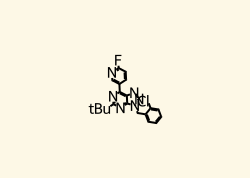 CC(C)(C)c1nc(-c2ccc(F)nc2)c2nnn(Cc3ccccc3Cl)c2n1